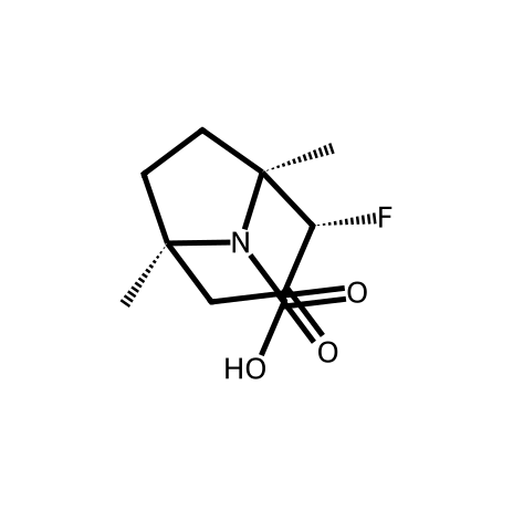 C[C@@]12CC[C@@](C)([C@H](F)C(=O)C1)N2C(=O)O